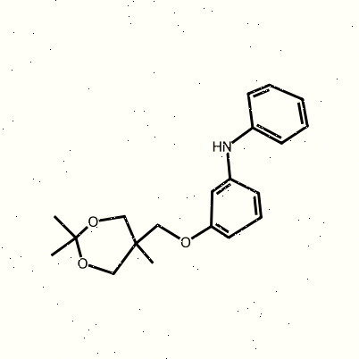 CC1(COc2cccc(Nc3ccccc3)c2)COC(C)(C)OC1